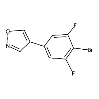 Fc1cc(-c2cnoc2)cc(F)c1Br